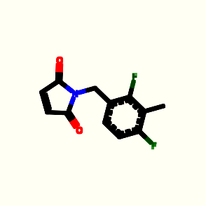 Cc1c(F)ccc(CN2C(=O)C=CC2=O)c1F